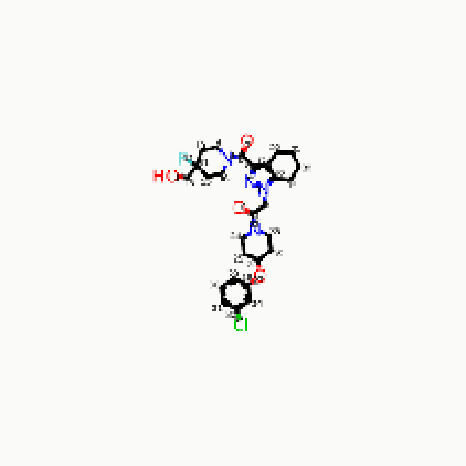 O=C(Cn1nc(C(=O)N2CCC(F)(CO)CC2)c2c1CCCC2)N1CCC(Oc2cccc(Cl)c2)CC1